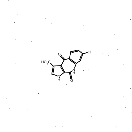 O=C(O)c1n[nH]c2c(=O)[nH]c3cc(Cl)ccc3c(=O)c12